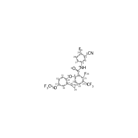 N#Cc1cc(NC(=O)c2c(Oc3ccc(OC(F)(F)F)cc3C3CC3)ccc(C(F)(F)F)c2F)ccc1F